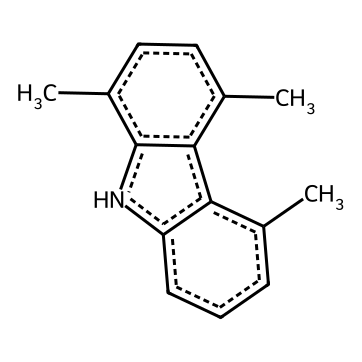 Cc1ccc(C)c2c1[nH]c1cccc(C)c12